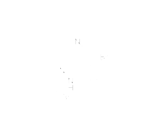 Brc1cccc(-c2[nH]c(-c3ccccc3Br)nc2-c2ccncc2)c1